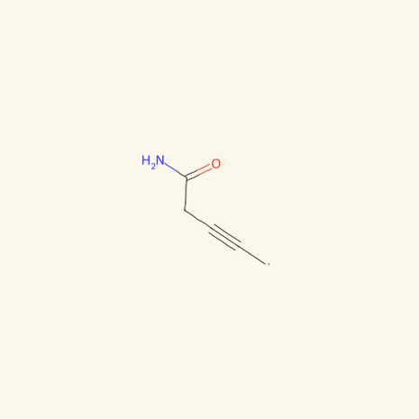 [CH2]C#CCC(N)=O